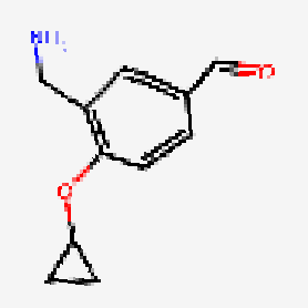 NCc1cc(C=O)ccc1OC1CC1